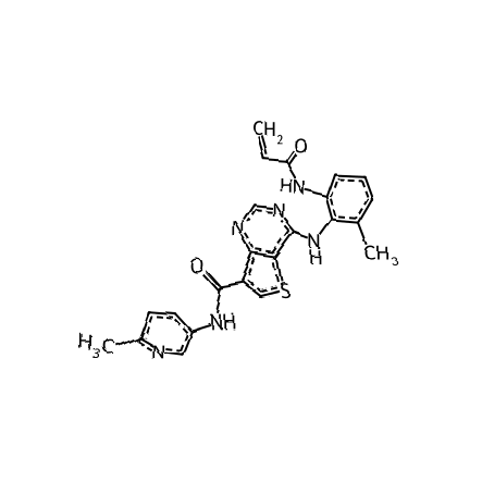 C=CC(=O)Nc1cccc(C)c1Nc1ncnc2c(C(=O)Nc3ccc(C)nc3)csc12